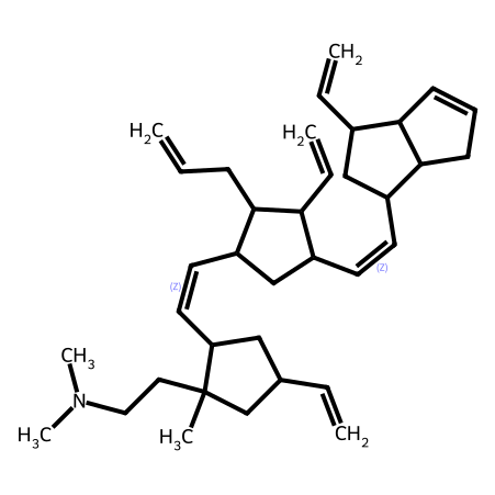 C=CCC1C(/C=C\C2CC(C=C)CC2(C)CCN(C)C)CC(/C=C\C2CC(C=C)C3C=CCC23)C1C=C